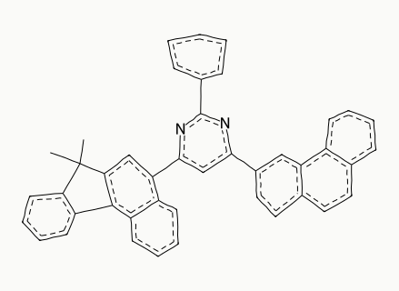 CC1(C)c2ccccc2-c2c1cc(-c1cc(-c3ccc4ccc5ccccc5c4c3)nc(-c3ccccc3)n1)c1ccccc21